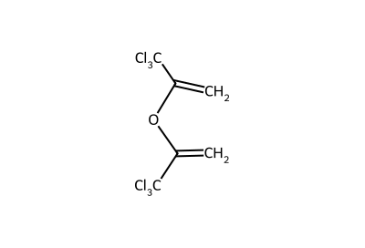 C=C(OC(=C)C(Cl)(Cl)Cl)C(Cl)(Cl)Cl